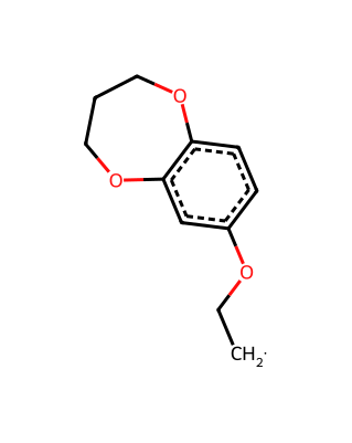 [CH2]COc1ccc2c(c1)OCCCO2